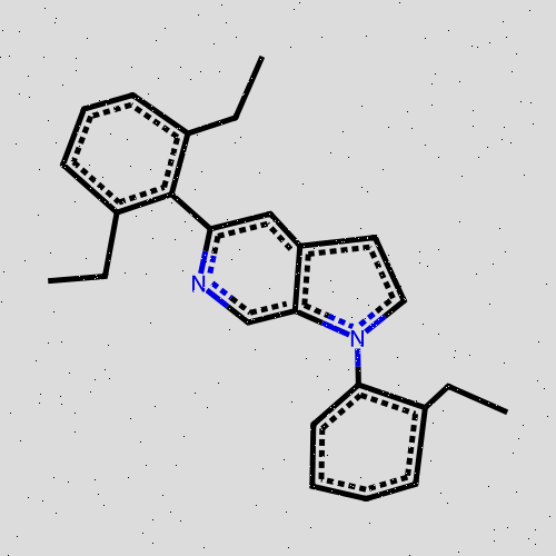 CCc1ccccc1-n1ccc2cc(-c3c(CC)cccc3CC)ncc21